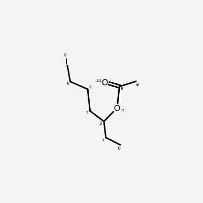 CCC(CCCI)OC(C)=O